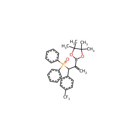 C=C(B1OC(C)(C)C(C)(C)O1)C(c1ccc(C(F)(F)F)cc1)P(=O)(c1ccccc1)c1ccccc1